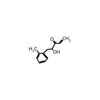 C=CC(=O)C(O)Cc1ccccc1C